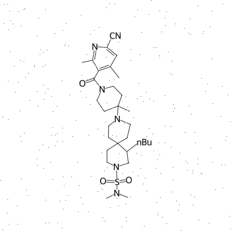 CCCCC1CN(S(=O)(=O)N(C)C)CCC12CCN(C1(C)CCN(C(=O)c3c(C)cc(C#N)nc3C)CC1)CC2